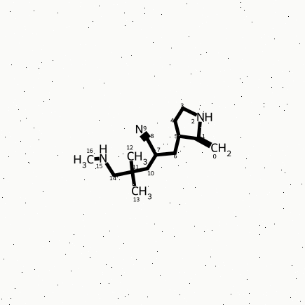 C=C1NCCC1CC(C#N)CC(C)(C)CNC